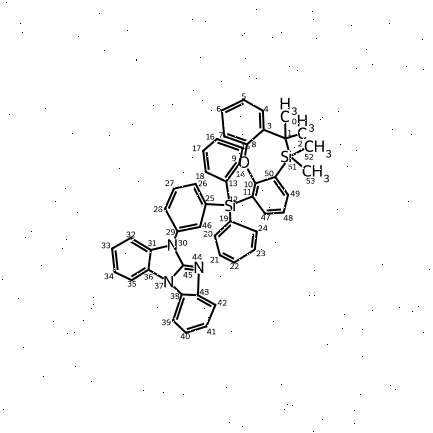 CC1(C)c2ccccc2Oc2c([Si](c3ccccc3)(c3ccccc3)c3cccc(-n4c5ccccc5n5c6ccccc6nc45)c3)cccc2[Si]1(C)C